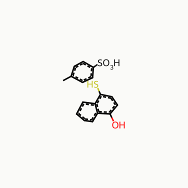 Cc1ccc(S(=O)(=O)O)cc1.Oc1ccc(S)c2ccccc12